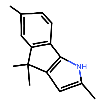 Cc1ccc2c(c1)C(C)(C)c1cc(C)[nH]c1-2